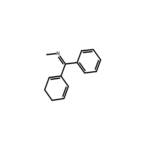 C/N=C(\C1=CCCC=C1)c1ccccc1